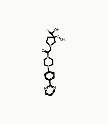 COC1(C(=O)O)CCN(CC(=O)N2CCN(c3ccc(-c4ncccn4)cc3)CC2)C1